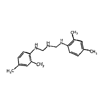 Cc1ccc(NCNCNc2ccc(C)cc2C)c(C)c1